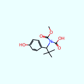 COC(=O)N(C(=O)O)C(c1ccc(O)cc1)C(C)(C)C